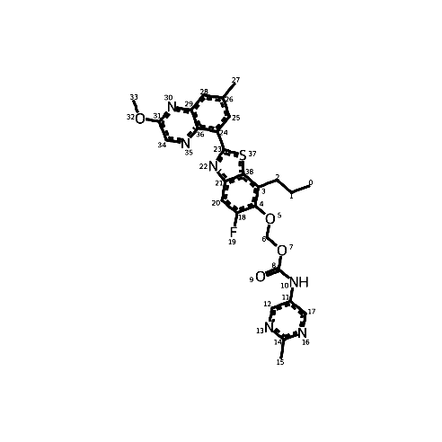 CCCc1c(OCOC(=O)Nc2cnc(C)nc2)c(F)cc2nc(-c3cc(C)cc4nc(OC)cnc34)sc12